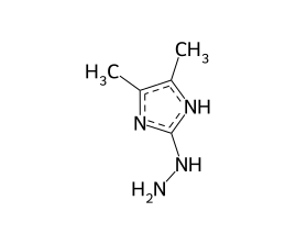 Cc1nc(NN)[nH]c1C